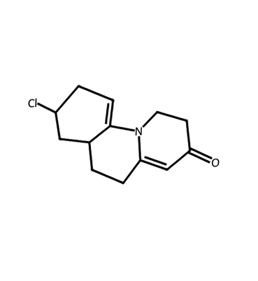 O=C1C=C2CCC3CC(Cl)CC=C3N2CC1